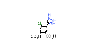 O=C(O)c1cc(Cl)c(C2=CNNN2)cc1C(=O)O